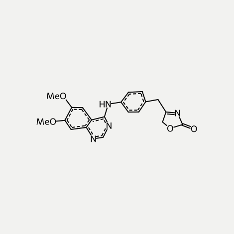 COc1cc2ncnc(Nc3ccc(CC4=NC(=O)OC4)cc3)c2cc1OC